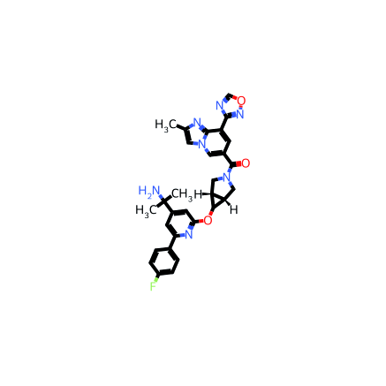 Cc1cn2cc(C(=O)N3C[C@@H]4C(Oc5cc(C(C)(C)N)cc(-c6ccc(F)cc6)n5)[C@@H]4C3)cc(-c3ncon3)c2n1